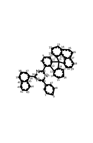 c1ccc(-c2nc(-c3cccc4c3-c3ccccc3C43c4cccc5ccc6cccc3c6c45)nc(-c3cccc4ccccc34)n2)cc1